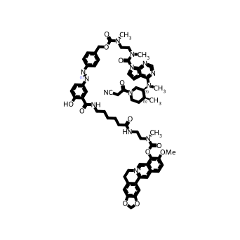 COc1ccc2cc3[n+](cc2c1OC(=O)N(C)CCNC(=O)CCCCCNC(=O)c1cc(/N=N/c2ccc(COC(=O)N(C)CCN(C)C(=O)n4ccc5c(N(C)[C@@H]6CN(C(=O)CC#N)CC[C@@H]6C)ncnc54)cc2)ccc1O)CCc1cc2c(cc1-3)OCO2